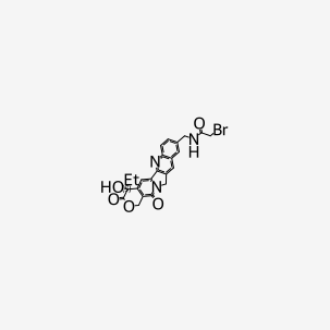 CC[C@@]1(O)C(=O)OCc2c1cc1n(c2=O)Cc2cc3cc(CNC(=O)CBr)ccc3nc2-1